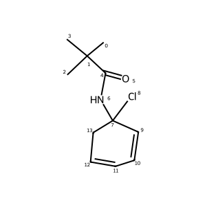 CC(C)(C)C(=O)NC1(Cl)C=CC=CC1